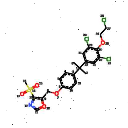 CC(C)(c1ccc(OCc2ocnc2S(C)(=O)=O)cc1)c1cc(Cl)c(OCCCl)c(Cl)c1